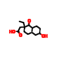 CCC1(CC(=O)O)CCC2CC(O)CCC2C1=O